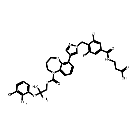 Cc1c(Cl)cccc1OC(C)(C)COC(=O)N1CCCOc2c(-c3cnn(Cc4c(F)cc(C(=O)NCCC(=O)O)cc4Cl)c3)cccc21